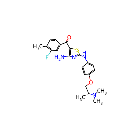 Cc1ccc(C(=O)c2sc(Nc3ccc(OC[C@@H](C)N(C)C)cc3)nc2N)cc1F